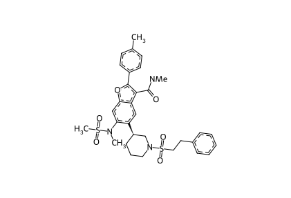 CNC(=O)c1c(-c2ccc(C)cc2)oc2cc(N(C)S(C)(=O)=O)c([C@@H]3CCCN(S(=O)(=O)CCc4ccccc4)C3)cc12